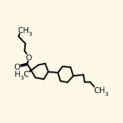 CCCCOC(=O)C1(C)CCC(C2CCC(CCCC)CC2)CC1